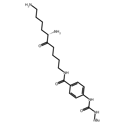 CCCCNC(=O)Nc1ccc(C(=O)NCCCCC(=O)[C@@H](N)CCCCN)cc1